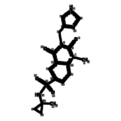 Cn1c(=O)n(Cc2c[nH]cn2)c(=O)c2cc(S(=O)(=O)NC3(C)CC3)ccc21